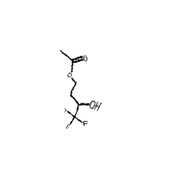 CC(=O)OCCC(O)C(F)(F)F